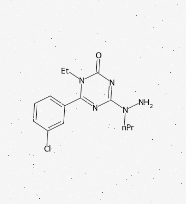 CCCN(N)c1nc(-c2cccc(Cl)c2)n(CC)c(=O)n1